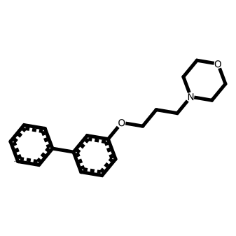 [c]1cccc(-c2cccc(OCCCN3CCOCC3)c2)c1